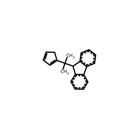 CC(C)(C1=CC=CC1)C1c2ccccc2-c2ccccc21